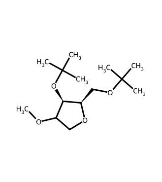 COC1CO[C@H](COC(C)(C)C)[C@@H]1OC(C)(C)C